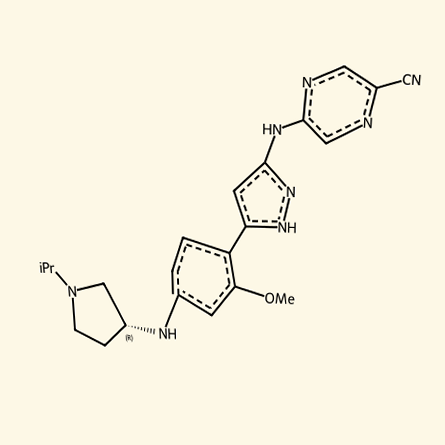 COc1cc(N[C@@H]2CCN(C(C)C)C2)ccc1-c1cc(Nc2cnc(C#N)cn2)n[nH]1